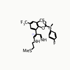 CSCCN/C=C(\C=N)c1cc(C(F)(F)F)cc(C(F)(F)F)c1OC(=O)N(C)c1ccc(F)cc1